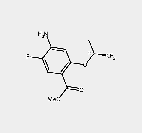 COC(=O)c1cc(F)c(N)cc1O[C@@H](C)C(F)(F)F